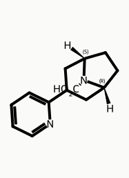 O=C(O)N1[C@@H]2CC[C@H]1CC(c1ccccn1)C2